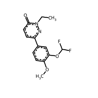 CCn1nc(-c2ccc(OC)c(OC(F)F)c2)ccc1=O